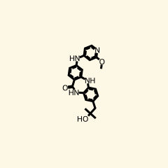 COc1cc(Nc2ccc3c(c2)Nc2ccc(CC(C)(C)O)cc2NC3=O)ccn1